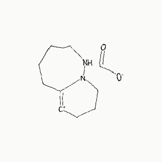 O=C[O-].[C+]1=C2CCCCNN2CCC1